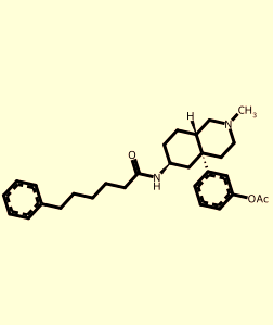 CC(=O)Oc1cccc([C@@]23CCN(C)C[C@H]2CC[C@H](NC(=O)CCCCCc2ccccc2)C3)c1